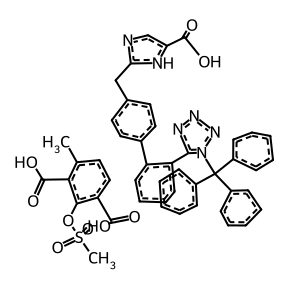 Cc1ccc(C(=O)O)c(OS(C)(=O)=O)c1C(=O)O.O=C(O)c1cnc(Cc2ccc(-c3ccccc3-c3nnnn3C(c3ccccc3)(c3ccccc3)c3ccccc3)cc2)[nH]1